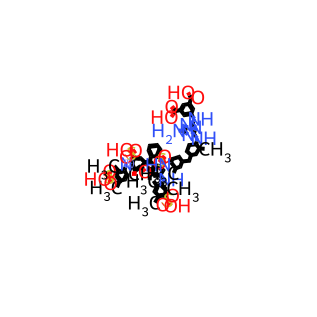 Cc1cc(C)c(S(=O)(=O)O)c(C)c1/N=c1\cc2oc3cc(Nc4c(C)cc(C)c(S(=O)(=O)O)c4C)ccc3c(-c3ccccc3S(=O)(=O)NC3CCC(CC4CCC(Nc5nc(N)nc(Nc6cc(C(=O)O)cc(C(=O)O)c6)n5)C(C)C4)CC3C)c-2cc1S(=O)(=O)O